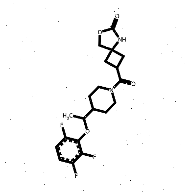 CC(Oc1c(F)ccc(F)c1F)C1CCN(C(=O)C2CC3(COC(=O)N3)C2)CC1